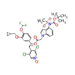 CC(C)(C)OC(=O)N(c1cccc2c1ccn2CC(=O)O[C@@H](Cc1c(Cl)c[n+]([O-])cc1Cl)c1ccc(OC(F)F)c(OCC2CC2)c1)S(C)(=O)=O